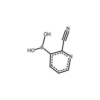 N#Cc1ncccc1B(O)O